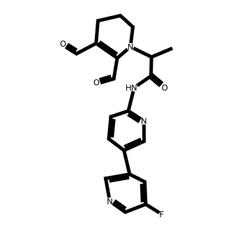 CC(C(=O)Nc1ccc(-c2cncc(F)c2)cn1)N1CCCC(C=O)=C1C=O